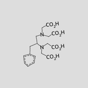 O=C(O)CN(CC(=O)O)CC(Cc1ccccc1)N(CC(=O)O)CC(=O)O